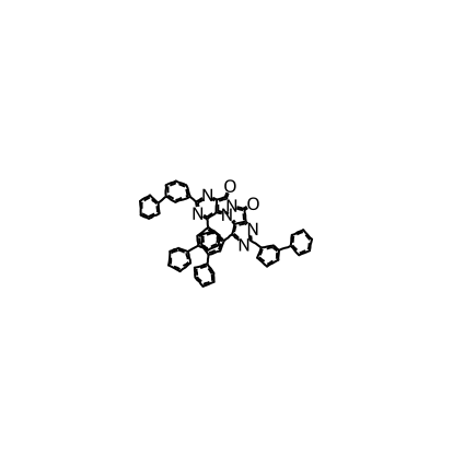 O=c1c2nc(-c3cccc(-c4ccccc4)c3)nc(-c3cccc(-c4ccccc4)c3)c2n2c3c(-c4cccc(-c5ccccc5)c4)nc(-c4cccc(-c5ccccc5)c4)nc3c(=O)n12